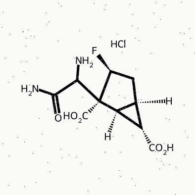 Cl.NC(=O)C(N)[C@]1(C(=O)O)[C@H]2[C@@H](C[C@@H]1F)[C@@H]2C(=O)O